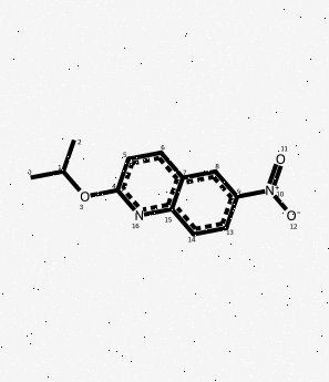 CC(C)Oc1ccc2cc([N+](=O)[O-])ccc2n1